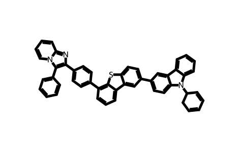 C1=CCC(n2c3ccccc3c3cc(-c4ccc5sc6c(-c7ccc(-c8nc9ccccn9c8-c8ccccc8)cc7)cccc6c5c4)ccc32)C=C1